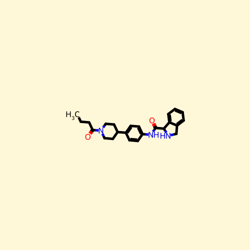 CCCC(=O)N1CCC(c2ccc(NC(=O)C3NCc4ccccc43)cc2)CC1